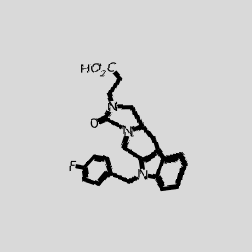 O=C(O)CCN1CC2Cc3c(n(Cc4ccc(F)cc4)c4ccccc34)CN2C1=O